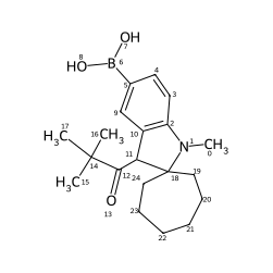 CN1c2ccc(B(O)O)cc2C(C(=O)C(C)(C)C)C12CCCCCC2